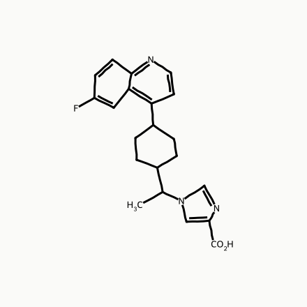 CC(C1CCC(c2ccnc3ccc(F)cc23)CC1)n1cnc(C(=O)O)c1